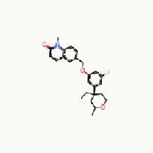 CCC1(c2cc(F)cc(OCc3ccc4c(ccc(=O)n4C)c3)c2)CCOC(C)C1